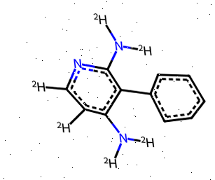 [2H]c1nc(N([2H])[2H])c(-c2ccccc2)c(N([2H])[2H])c1[2H]